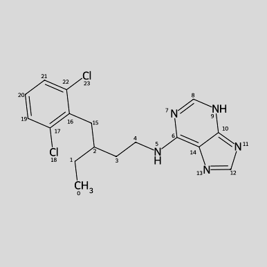 CCC(CCNc1nc[nH]c2ncnc1-2)Cc1c(Cl)cccc1Cl